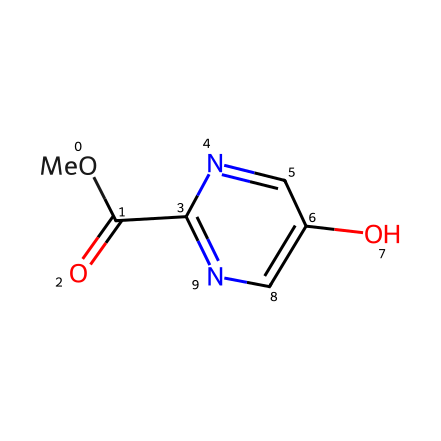 COC(=O)c1ncc(O)cn1